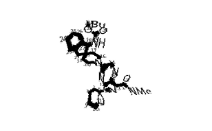 CNC(=O)c1nn(C2CCCCO2)c2nc(N3CCC4(CC3)Cc3ccccc3C4NC(=O)OC(C)(C)C)cnc12